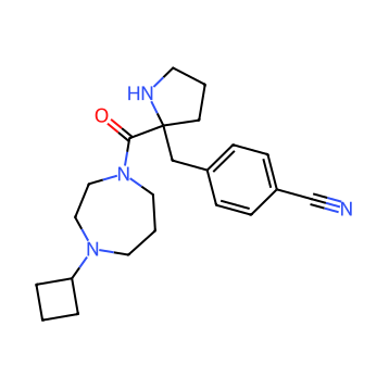 N#Cc1ccc(CC2(C(=O)N3CCCN(C4CCC4)CC3)CCCN2)cc1